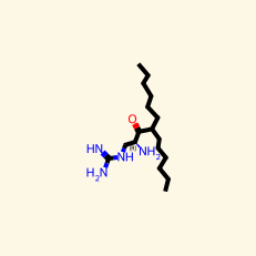 CCCCCCC(CCCCCC)C(=O)[C@H](N)CNC(=N)N